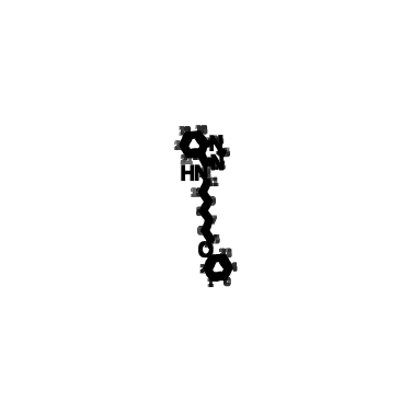 c1ccc(OCCCCCCCNc2ncnc3ccccc23)cc1